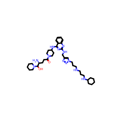 N[C@@H](CCC(=O)N1CCC(Nc2nc(NCc3cn(CCCNCCCNC4CCCCC4)nn3)nc3ccccc23)CC1)C(O)N1CCCCC1